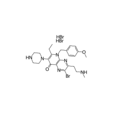 Br.Br.CCc1c(N2CCNCC2)c(=O)c2nc(Br)c(CCNC)nc2n1Cc1ccc(OC)cc1